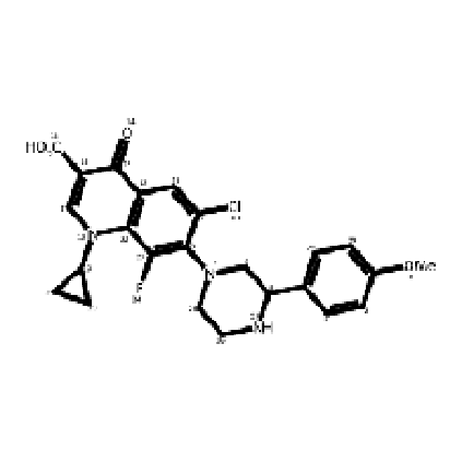 COc1ccc(C2CN(c3c(Cl)cc4c(=O)c(C(=O)O)cn(C5CC5)c4c3F)CCN2)cc1